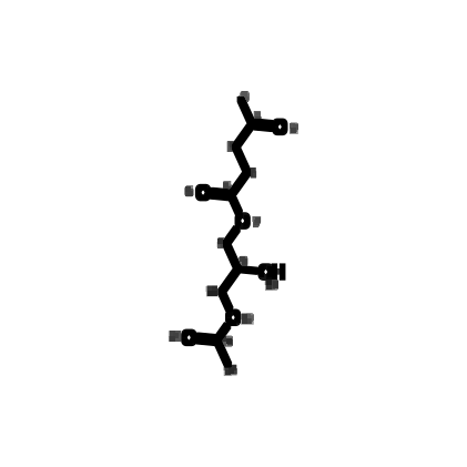 CC(=O)CCC(=O)OCC(O)COC(C)=O